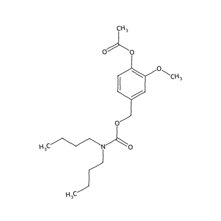 CCCCN(CCCC)C(=O)OCc1ccc(OC(C)=O)c(OC)c1